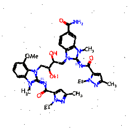 CCn1nc(C)cc1C(=O)/N=c1\n(C)c2cc(C(N)=O)ccc2n1CC(O)C(O)Cn1/c(=N/C(=O)c2cc(C)nn2CC)n(C)c2cccc(OC)c21